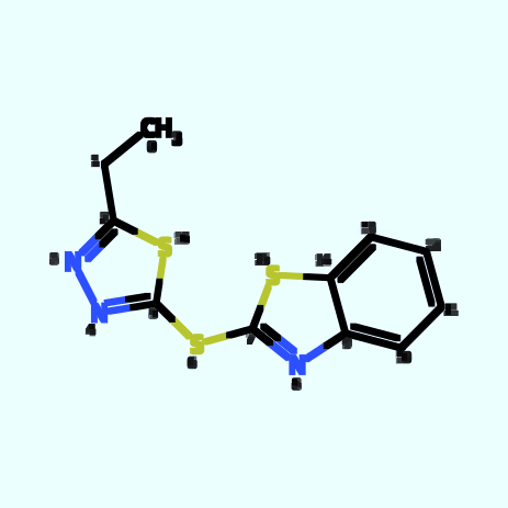 CCc1nnc(Sc2nc3ccccc3s2)s1